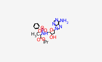 CC(C)OC(=O)[C@H](C)NP(=O)(OC[C@H]1O[C@@H](n2cnc3c(N)ncnc32)C[C@H]1O)Oc1ccccc1